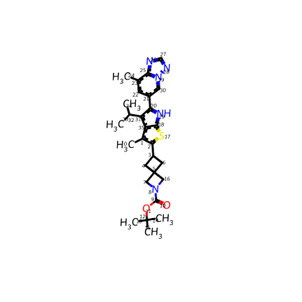 Cc1c(C2CC3(C2)CN(C(=O)OC(C)(C)C)C3)sc2[nH]c(-c3cc(C)c4ncnn4c3)c(C(C)C)c12